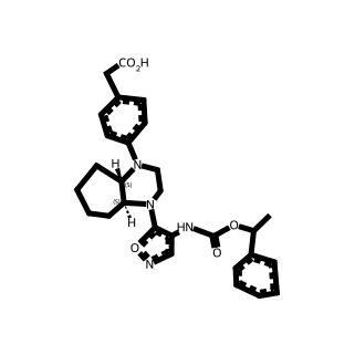 CC(OC(=O)Nc1cnoc1N1CCN(c2ccc(CC(=O)O)cc2)[C@H]2CCCC[C@@H]21)c1ccccc1